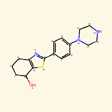 OC1CCCc2nc(-c3ccc(N4CCNCC4)cc3)sc21